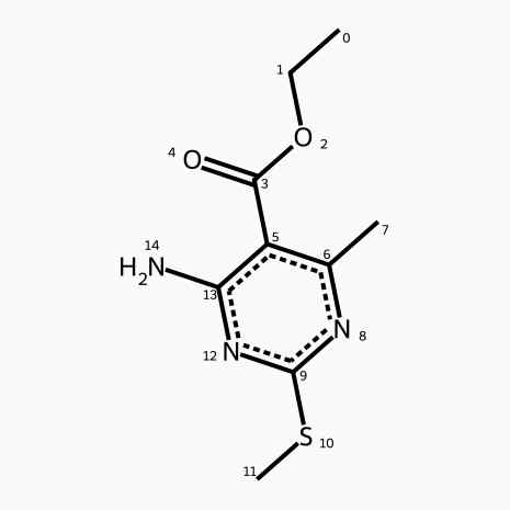 CCOC(=O)c1c(C)nc(SC)nc1N